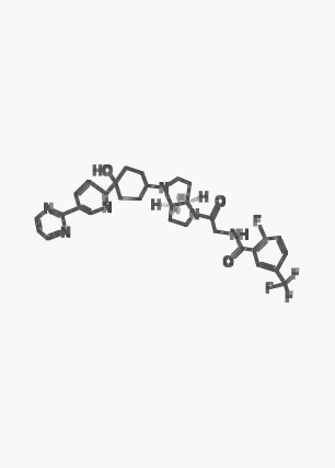 O=C(NCC(=O)N1CC[C@@H]2[C@H]1CCN2C1CCC(O)(c2ccc(-c3ncccn3)cn2)CC1)c1cc(C(F)(F)F)ccc1F